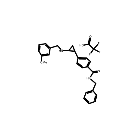 COc1cccc(CNC2CC2c2ccc(C(=O)NCc3ccccc3)cc2)c1.O=C(O)C(F)(F)F